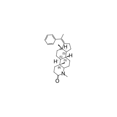 CC(=C1CC[C@H]2[C@@H]3CCC4N(C)C(=O)CC[C@]4(C)[C@H]3CC[C@]12C)c1ccccc1